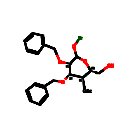 CC(=O)O[C@H]1[C@H](OCc2ccccc2)[C@@H](OCc2ccccc2)C(OBr)O[C@@H]1CO